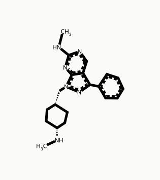 CNc1ncc2c(-c3ccccc3)nn(C[C@H]3CC[C@@H](NC)CC3)c2n1